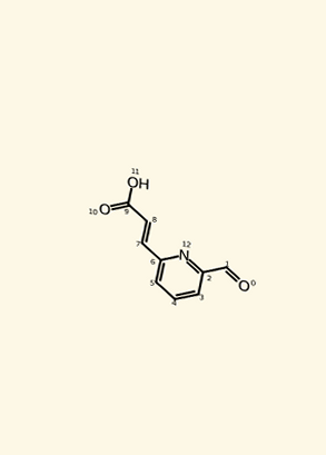 O=Cc1cccc(/C=C/C(=O)O)n1